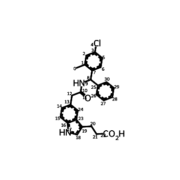 Cc1cc(Cl)ccc1C(NC(=O)Cc1ccc2[nH]cc(CCC(=O)O)c2c1)c1ccccc1